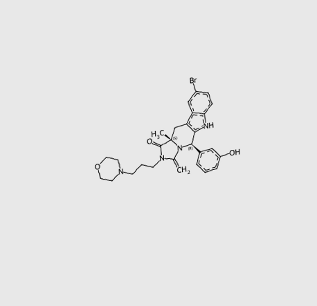 C=C1N(CCCN2CCOCC2)C(=O)[C@]2(C)Cc3c([nH]c4ccc(Br)cc34)[C@@H](c3cccc(O)c3)N12